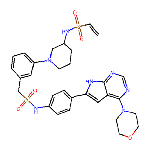 C=CS(=O)(=O)NC1CCCN(c2cccc(CS(=O)(=O)Nc3ccc(-c4cc5c(N6CCOCC6)ncnc5[nH]4)cc3)c2)C1